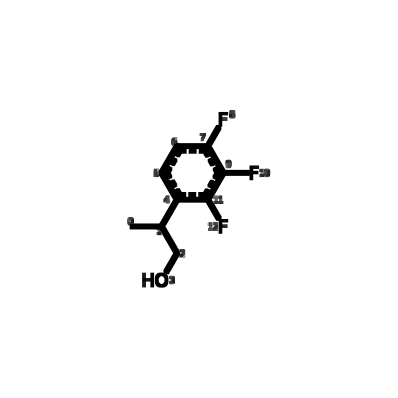 CC(CO)c1ccc(F)c(F)c1F